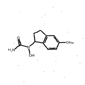 COc1ccc2c(c1)CCC2N(O)C(N)=O